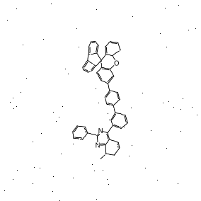 CC1CC=Cc2c(-c3cccc(-c4ccc(-c5ccc6c(c5)OC5CC=CC=C5C65c6ccccc6-c6ccccc65)cc4)c3)nc(-c3ccccc3)nc21